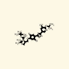 CC(C)Oc1ncc(-c2nnc(-c3cc(F)c(OCC4COC(C)(C)N4C(=O)OC(C)(C)C)cc3Cl)s2)cc1Cl